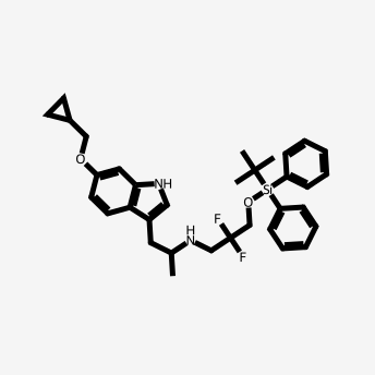 CC(Cc1c[nH]c2cc(OCC3CC3)ccc12)NCC(F)(F)CO[Si](c1ccccc1)(c1ccccc1)C(C)(C)C